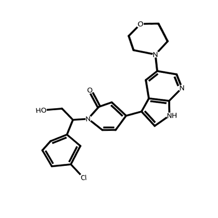 O=c1cc(-c2c[nH]c3ncc(N4CCOCC4)cc23)ccn1C(CO)c1cccc(Cl)c1